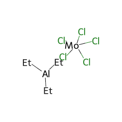 C[CH2][Al]([CH2]C)[CH2]C.[Cl][Mo]([Cl])([Cl])([Cl])[Cl]